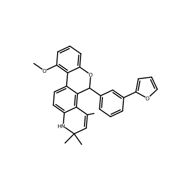 COc1cccc2c1-c1ccc3c(c1C(c1cccc(-c4ccco4)c1)O2)C(C)=CC(C)(C)N3